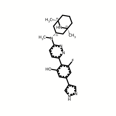 CN(c1ccc(-c2c(O)cc(-c3cn[nH]c3)cc2F)nn1)[C@H]1C[C@]2(C)CCC[C@](C)(C1)N2